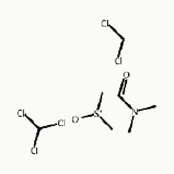 CN(C)C=O.C[S+](C)[O-].ClC(Cl)Cl.ClCCl